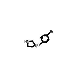 Brc1ccc(O[C@H]2CCNC2)cc1